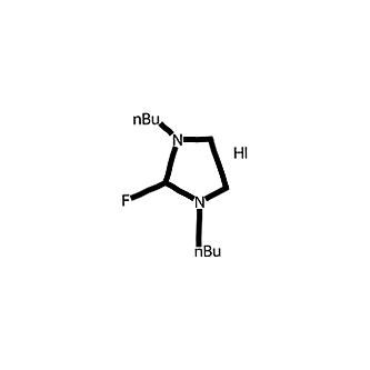 CCCCN1CCN(CCCC)C1F.I